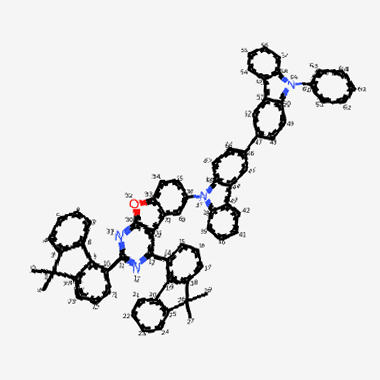 CC1(C)c2ccccc2-c2c(-c3nc(-c4cccc5c4-c4ccccc4C5(C)C)c4c(n3)oc3ccc(-n5c6ccccc6c6cc(-c7ccc8c(c7)c7ccccc7n8-c7ccccc7)ccc65)cc34)cccc21